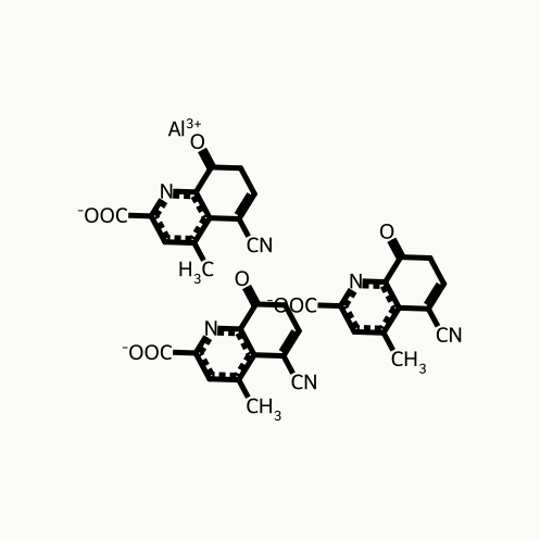 Cc1cc(C(=O)[O-])nc2c1C(C#N)=CCC2=O.Cc1cc(C(=O)[O-])nc2c1C(C#N)=CCC2=O.Cc1cc(C(=O)[O-])nc2c1C(C#N)=CCC2=O.[Al+3]